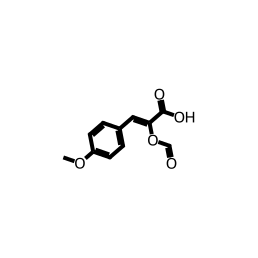 COc1ccc(/C=C(\OC=O)C(=O)O)cc1